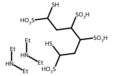 CCNCC.CCNCC.O=S(=O)(O)C(S)CC(C(CC(S)S(=O)(=O)O)S(=O)(=O)O)S(=O)(=O)O